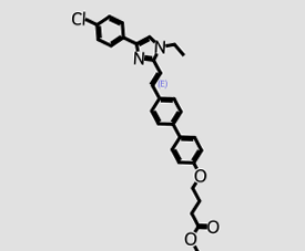 CCn1cc(-c2ccc(Cl)cc2)nc1/C=C/c1ccc(-c2ccc(OCCCC(=O)OC)cc2)cc1